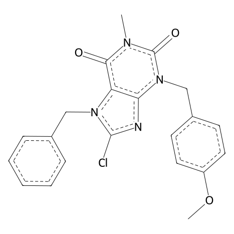 COc1ccc(Cn2c(=O)n(C)c(=O)c3c2nc(Cl)n3Cc2ccccc2)cc1